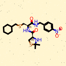 CC1(C)N[C@H](C(=O)N[C@@H](CSCC2CCCCC2)C(=O)NCc2ccc([N+](=O)[O-])cc2)CS1